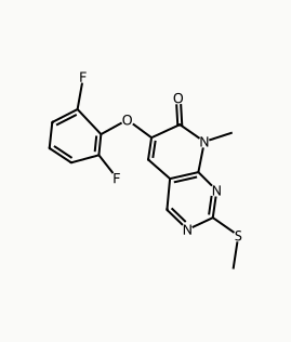 CSc1ncc2cc(Oc3c(F)cccc3F)c(=O)n(C)c2n1